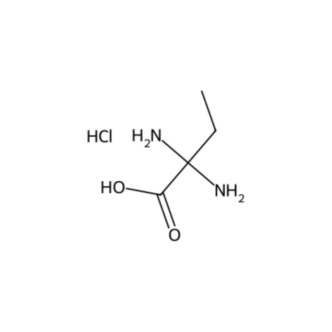 CCC(N)(N)C(=O)O.Cl